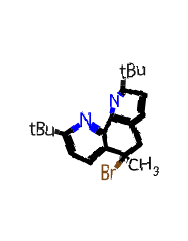 CC(C)(C)c1ccc2c(n1)-c1nc(C(C)(C)C)ccc1[C@](C)(Br)C2